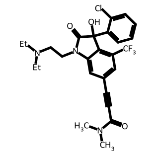 CCN(CC)CCN1C(=O)C(O)(c2ccccc2Cl)c2c1cc(C#CC(=O)N(C)C)cc2C(F)(F)F